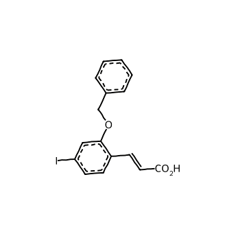 O=C(O)C=Cc1ccc(I)cc1OCc1ccccc1